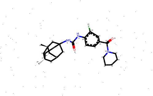 C[C@]12CC3CC(NC(=O)Nc4ccc(C(=O)N5CCCCC5)cc4F)(C1)C[C@@](C)(C3)C2